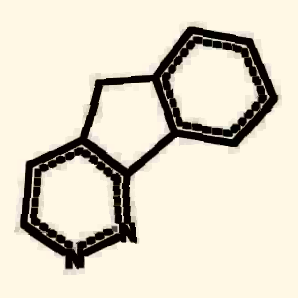 c1ccc2c(c1)Cc1ccnnc1-2